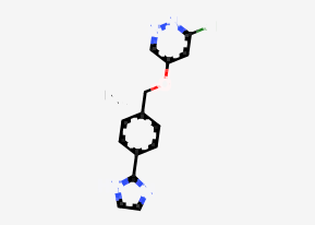 Clc1cc(OCc2ccc(-c3ncc[nH]3)cc2)cnn1.[H-].[Na+]